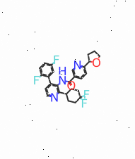 O=C(Nc1c(-c2cc(F)ccc2F)ccnc1C1CCC(F)(F)CC1)c1ccc(C2CCCO2)nc1